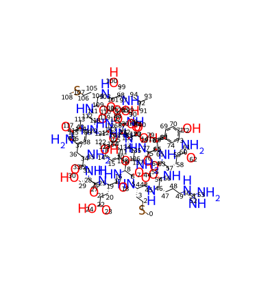 CSCC[C@H](NC(=O)[C@H](Cc1ccccc1)NC(=O)[C@H](CCC(=O)O)NC(=O)[C@H](CO)NC(=O)[C@@H](N)Cc1ccccc1)C(=O)N[C@@H](CCCNC(=N)N)C(=O)N[C@@H](CCC(N)=O)C(=O)N[C@@H](Cc1ccc(O)cc1)C(=O)N[C@@H](CC(C)C)C(=O)N[C@H](C(=O)N[C@@H](CC(C)C)C(=O)N[C@@H](CO)C(=O)N[C@@H](CCSC)C(=O)N[C@@H](CCC(N)=O)C(=O)N[C@@H](CO)C(=O)N[C@@H](CO)C(=O)N[C@@H](CCC(N)=O)C(=O)O)C(C)C